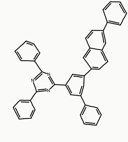 c1ccc(-c2cc(-c3ccc4cc(-c5ccccc5)ccc4c3)cc(-c3nc(-c4ccccc4)nc(-c4ccccc4)n3)c2)cc1